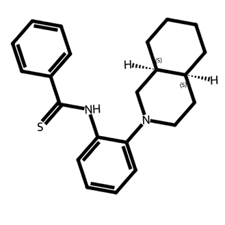 S=C(Nc1ccccc1N1CC[C@@H]2CCCC[C@@H]2C1)c1ccccc1